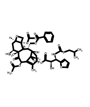 CC(=O)O[C@H]1C(=O)[C@@]2(C)[C@H]([C@H](COC(=O)c3ccccc3)[C@]3(O)C[C@H](OC(=O)[C@H](O)[C@@H](NC(=O)SCC(C)C)c4ccco4)C(C)=C1C3(C)C)[C@]1(OC(C)=O)CO[C@@H]1C[C@@H]2O